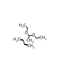 C=CC=C.CCOC(C)OCC